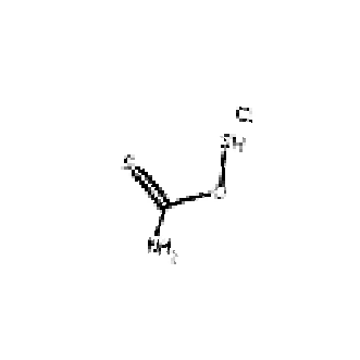 NC(=S)OS.[C]